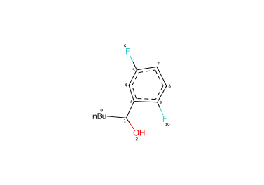 CCCCC(O)c1cc(F)ccc1F